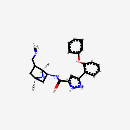 C=NCC1C[C@@H]2C[C@H](NC(=O)c3cc(-c4ccccc4Oc4ccccc4)[nH]n3)[C@H]1N2